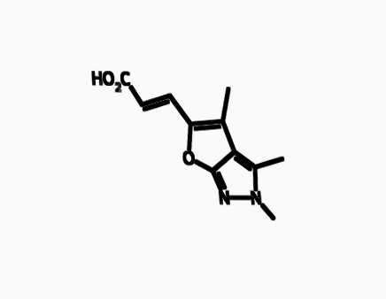 Cc1c(/C=C/C(=O)O)oc2nn(C)c(C)c12